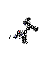 C=C/C=C\C(=C/C)n1c(C)c(/C=C(\C)N(c2ccc(ON3C(=O)CCC3=O)cc2)c2ccc(-c3ccc(N(c4ccc(ON5C(=O)CCC5=O)cc4)c4ccc5c(c4)c(/C=C\C)c(C=C)n5-c4ccccc4)cc3)cc2)c(C=C)c1/C=C\C